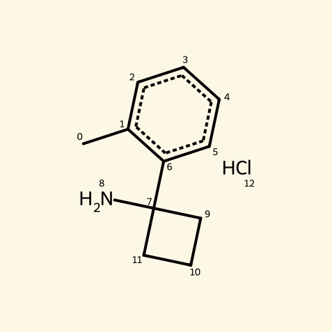 Cc1ccccc1C1(N)CCC1.Cl